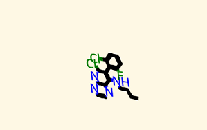 CCCCNc1c(-c2c(F)cccc2Cl)c(Cl)nc2nccnc12